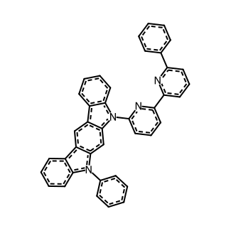 c1ccc(-c2cccc(-c3cccc(-n4c5ccccc5c5cc6c7ccccc7n(-c7ccccc7)c6cc54)n3)n2)cc1